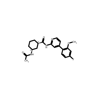 COc1cc(F)ccc1-c1ccnc(NC(=O)[C@@H]2CCC[C@H](NC(C)=O)C2)c1